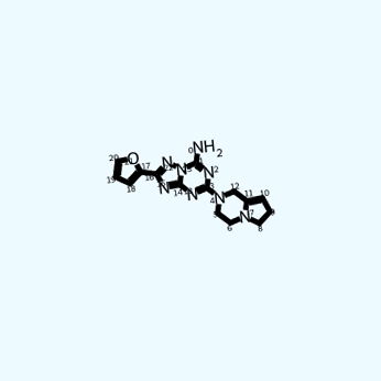 Nc1nc(N2CCN3CCC=C3C2)nc2nc(-c3ccco3)nn12